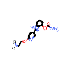 CCN(CC)CCOc1ccc(-c2nc3c(OC(N)=O)cccc3[nH]2)cn1